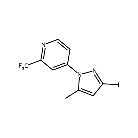 Cc1cc(I)nn1-c1ccnc(C(F)(F)F)c1